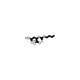 CCCCSC(=S)SC(CC(=O)O)C(=O)O